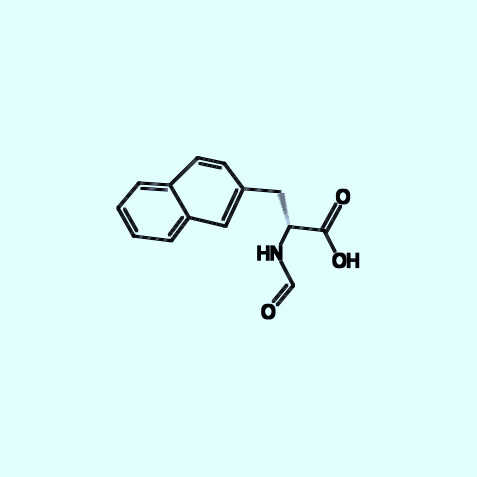 O=CN[C@H](Cc1ccc2ccccc2c1)C(=O)O